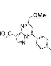 COCc1cc(-c2ccc(F)cc2)n2ncc(C(=O)O)c2n1